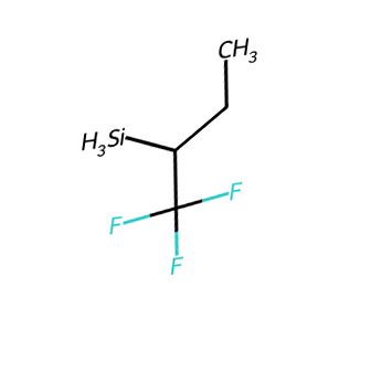 CCC([SiH3])C(F)(F)F